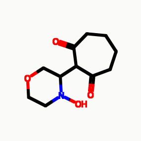 O=C1CCCCC(=O)C1C1COCCN1O